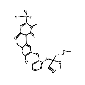 COCCC(C=O)(OC)Oc1ccccc1Oc1cc(-n2c(=O)cc(C(F)(F)F)n(C)c2=O)c(F)cc1Cl